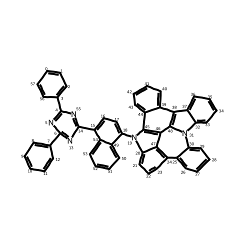 c1ccc(-c2nc(-c3ccccc3)nc(-c3ccc(-n4c5cccc6c7ccccc7n7c8ccccc8c8c9ccccc9c4c(c65)c87)c4ccccc34)n2)cc1